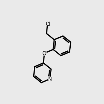 ClCc1ccc[c]c1Oc1cccnc1